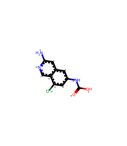 Nc1cc2cc(NC(=O)O)cc(Cl)c2cn1